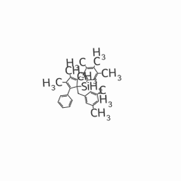 CC1=C(C)C(Cc2cc(C)cc(C)c2)([SiH2]c2cc(C)c(C)c(C)c2)C(c2ccccc2)=C1C